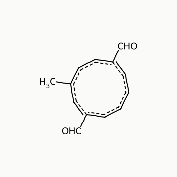 Cc1ccc(C=O)ccccc(C=O)c1